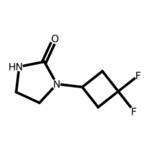 O=C1NCCN1C1CC(F)(F)C1